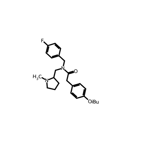 CC(C)COc1ccc(CC(=O)N(Cc2ccc(F)cc2)CC2CCCN2C)cc1